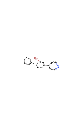 Brc1cc(-c2ccncc2)ccc1-c1ccccc1